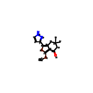 CCC(C)Sc1sc(-c2cc[nH]n2)c2c1C(=O)CC(C)(C)C2